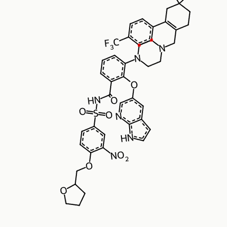 CC1(C)CCC(CN2CCN(c3cccc(C(=O)NS(=O)(=O)c4ccc(OCC5CCCO5)c([N+](=O)[O-])c4)c3Oc3cnc4[nH]ccc4c3)CC2)=C(c2ccc(C(F)(F)F)cc2)C1